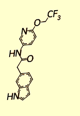 O=C(Cc1ccc2cc[nH]c2c1)Nc1ccc(OCC(F)(F)F)nc1